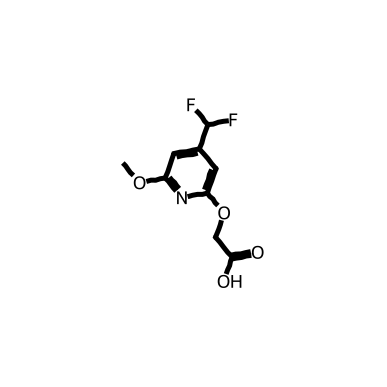 COc1cc(C(F)F)cc(OCC(=O)O)n1